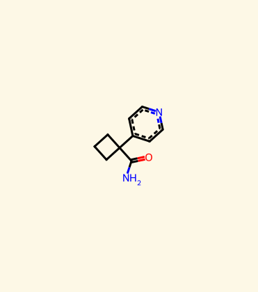 NC(=O)C1(c2ccncc2)CCC1